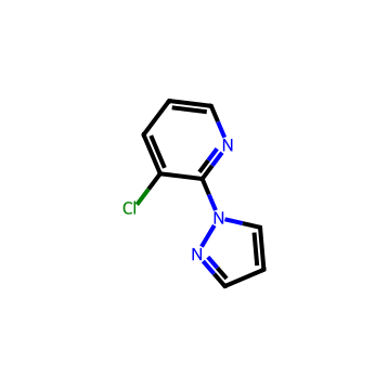 Clc1cccnc1-n1cccn1